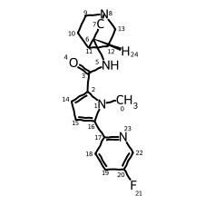 Cn1c(C(=O)N[C@H]2CN3CCC2CC3)ccc1-c1ccc(F)cn1